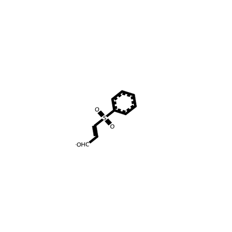 O=[C]C=CS(=O)(=O)c1ccccc1